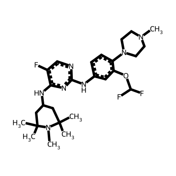 CN1CCN(c2ccc(Nc3ncc(F)c(NC4CC(C)(C)N(C)C(C)(C)C4)n3)cc2OC(F)F)CC1